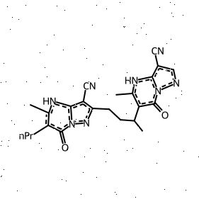 CCCc1c(C)[nH]c2c(C#N)c(CCC(C)c3c(C)[nH]c4c(C#N)cnn4c3=O)nn2c1=O